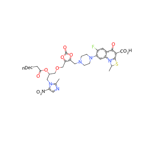 CCCCCCCCCCCC(=O)OC(COCc1oc(=O)oc1CN1CCN(c2cc3c(cc2F)c(=O)c(C(=O)O)c2n3C(C)S2)CC1)Cn1c([N+](=O)[O-])cnc1C